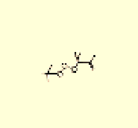 C=C(C)C(=O)OOOC(C)(C)C